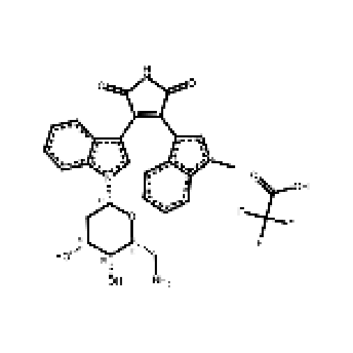 Cn1cc(C2=C(c3cn([C@H]4C[C@@H](O)[C@@H](O)[C@@H](CN)O4)c4ccccc34)C(=O)NC2=O)c2ccccc21.O=C(O)C(F)(F)F